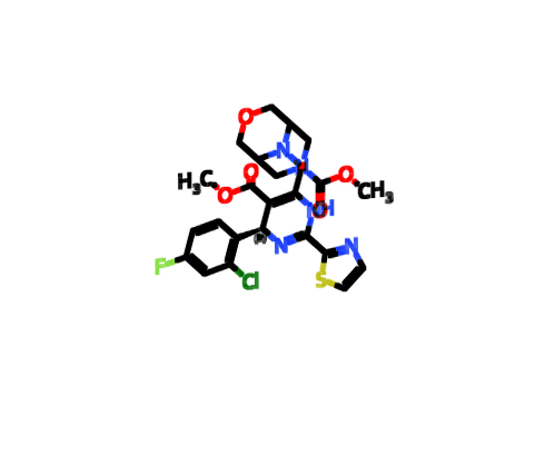 COC(=O)C1=C(CN2C3COCC2CN(C(=O)OC)C3)NC(c2nccs2)=N[C@H]1c1ccc(F)cc1Cl